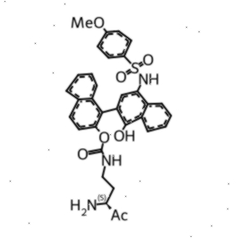 COc1ccc(S(=O)(=O)Nc2cc(-c3c(OC(=O)NCC[C@H](N)C(C)=O)ccc4ccccc34)c(O)c3ccccc23)cc1